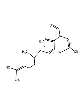 C=CN(/C=C(/C#N)CCC)C(/C=C\C(=C)C(C)CC/C=C(\C)C#N)=N/C(C)CC